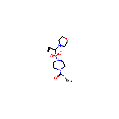 C=CC(N1CCOCC1)S(=O)(=O)N1CCN(C(=O)OC(C)(C)C)CC1